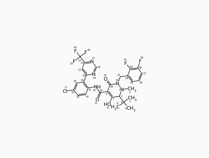 CN1C(C(C)(C)C)C(O)=C(C(=O)Nc2ccc(Cl)cc2-c2cc(C(F)(F)F)ncn2)C(=O)N1Cc1cccc(F)c1F